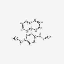 COc1ccc(OC=O)cc1.c1ccc2cnccc2c1